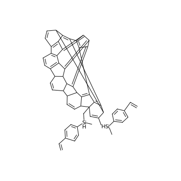 C=Cc1ccc([SiH](C)CC2=CC3(C[SiH](C)c4ccc(C=C)cc4)c4c5c6c7c8c(c9ccc%10c%11c%12c%13c%14c(c4=C4C%15C=%14C%14C(C=CC%10C%12%14)C%15C=CC43)c6c%13c8c9%11)C=CC7C25)cc1